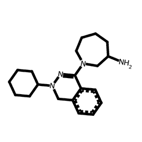 NC1CCCCN(C2=NN(C3CCCCC3)Cc3ccccc32)C1